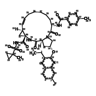 CCc1nc2ccc(F)cc2nc1O[C@@H]1C[C@H]2C(=O)N[C@]3(C(=O)NS(=O)(=O)C4(C)CC4)C[C@H]3/C=C\CCCCC[C@H](NC(=O)c3cnc(C)cn3)C(=O)N2C1